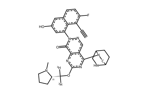 [2H]C([2H])(Oc1nc(N2CC3CCC2CN3)c2cnn(-c3cc(O)cc4ccc(F)c(C#C)c34)c(=O)c2n1)[C@@H]1CCCN1C